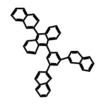 c1ccc2cc(-c3cc(-c4ccc5ccccc5c4)cc(-c4c5ccccc5c(-c5ccc6ccccc6c5)c5ccccc45)c3)ccc2c1